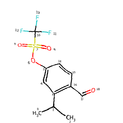 CC(C)c1cc(OS(=O)(=O)C(F)(F)F)ccc1C=O